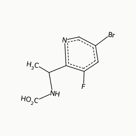 CC(NC(=O)O)c1ncc(Br)cc1F